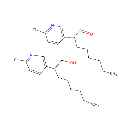 CCCCCCC(C=O)c1ccc(Cl)nc1.CCCCCCC(CO)c1ccc(Cl)nc1